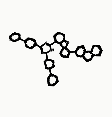 c1ccc(-c2ccc(C3=NC(c4ccc(-c5ccccc5)cc4)NC(c4cccc5oc6c(-c7ccc8c(ccc9ccccc98)c7)cccc6c45)=N3)cc2)cc1